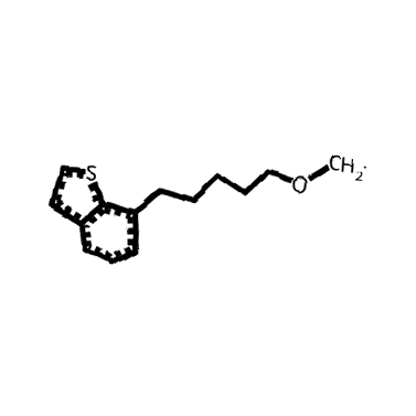 [CH2]OCCCCCc1cccc2ccsc12